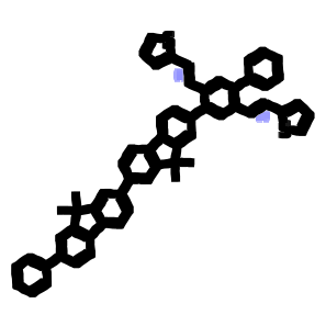 CC1(C)c2cc(-c3ccccc3)ccc2-c2ccc(-c3ccc4c(c3)C(C)(C)c3cc(-c5cc(/C=C/c6cccs6)c(-c6ccccc6)cc5/C=C/c5cccs5)ccc3-4)cc21